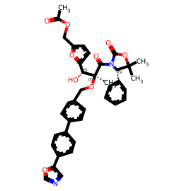 CC(=O)OCc1ccc([C@@H](O)[C@](C)(OCc2ccc(-c3ccc(-c4cnco4)cc3)cc2)C(=O)N2C(=O)OC(C)(C)[C@@H]2c2ccccc2)o1